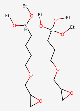 CCO[SiH](CCCCOCC1CO1)OCC.CCO[Si](CCCOCC1CO1)(OCC)OCC